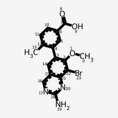 COc1c(-c2cc(C(=O)O)ccc2C)cc2cnc(N)nc2c1Br